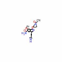 CC(C)Oc1cc2c(OC3CCCN(C(=O)CC#N)C3)ncc(C#CC3CNC3)c2cc1C(N)=O